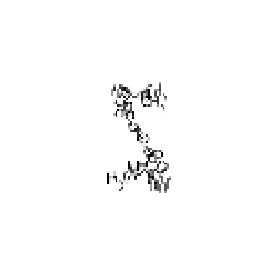 CN(C)CCc1c[nH]c2cccc(OC(=O)OCCOCCOCCOC(=O)Oc3cccc4[nH]cc(CCN(C)C)c34)c12